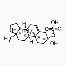 C[C@@]12CCC[C@H]1[C@@H]1CC=C3C[C@@](O)(OS(=O)(=O)O)CC[C@]3(C)[C@H]1CC2